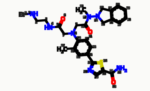 CCNCCNC(=O)CN(CC(=O)N(C)N1Cc2ccccc2C1)c1ccc(-c2ncc(C(N)=O)s2)cc1C